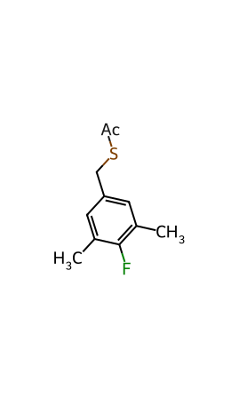 CC(=O)SCc1cc(C)c(F)c(C)c1